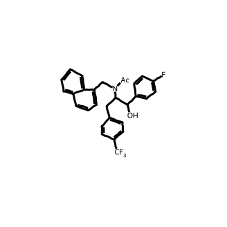 CC(=O)N(Cc1cccc2ccccc12)C(Cc1ccc(C(F)(F)F)cc1)C(O)c1ccc(F)cc1